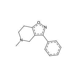 CN1CCc2onc(-c3ccccc3)c2C1